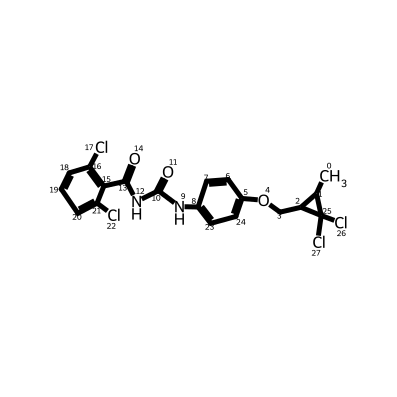 CC1C(COc2ccc(NC(=O)NC(=O)c3c(Cl)cccc3Cl)cc2)C1(Cl)Cl